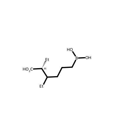 CCC(CCCB(O)O)[C@@H](CC)C(=O)O